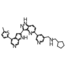 Cc1ccc(-c2cncc3[nH]c(-c4n[nH]c5ccc(-c6cncc(CNCC7CCCC7)c6)nc45)cc23)s1